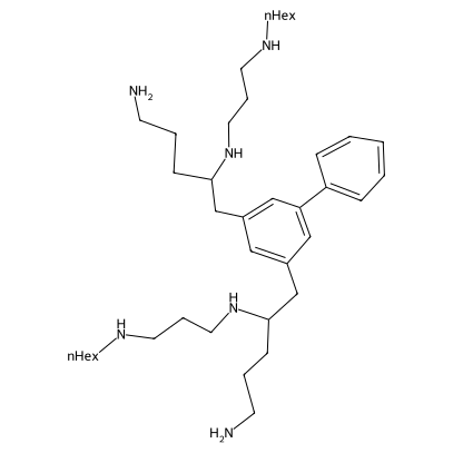 CCCCCCNCCCNC(CCCN)Cc1cc(CC(CCCN)NCCCNCCCCCC)cc(-c2ccccc2)c1